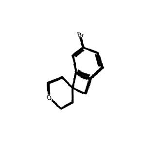 Brc1ccc2c(c1)C1(CCOCC1)C2